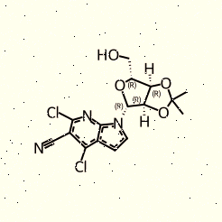 CC1(C)O[C@@H]2[C@H](O1)[C@@H](CO)O[C@H]2n1ccc2c(Cl)c(C#N)c(Cl)nc21